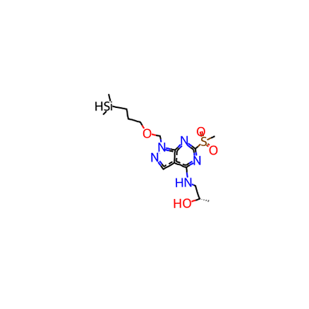 C[C@H](O)CNc1nc(S(C)(=O)=O)nc2c1cnn2COCCC[SiH](C)C